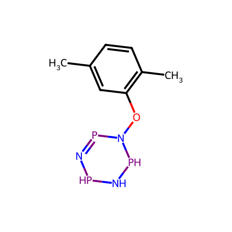 Cc1ccc(C)c(On2pn[pH][nH][pH]2)c1